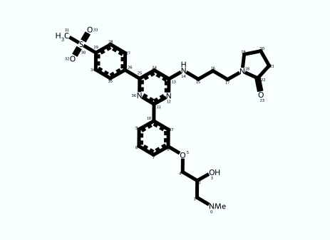 CNCC(O)COc1cccc(-c2nc(NCCCN3CCCC3=O)cc(-c3ccc(S(C)(=O)=O)cc3)n2)c1